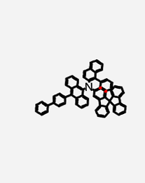 c1ccc(-c2ccc(-c3c4ccccc4c(N(c4ccc5c(c4)-c4ccccc4C54c5ccccc5-c5ccccc54)c4ccc5ccccc5c4-c4ccccc4)c4ccccc34)cc2)cc1